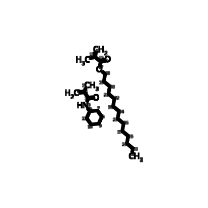 C=C(C)C(=O)NC1CCCCC1.C=C(C)C(=O)OCCCCCCCCCCCCCC